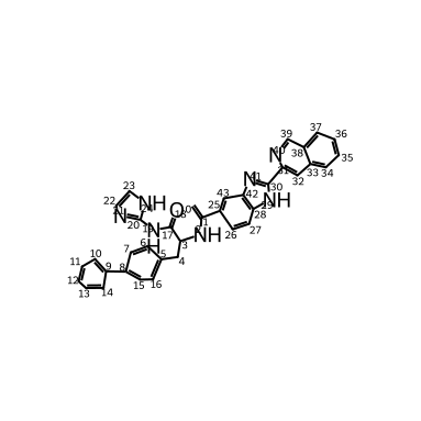 C=C(NC(Cc1ccc(-c2ccccc2)cc1)C(=O)Nc1ncc[nH]1)c1ccc2[nH]c(-c3cc4ccccc4cn3)nc2c1